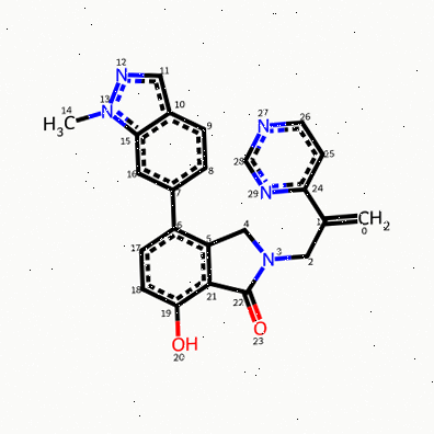 C=C(CN1Cc2c(-c3ccc4cnn(C)c4c3)ccc(O)c2C1=O)c1ccncn1